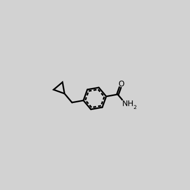 NC(=O)c1ccc(CC2CC2)cc1